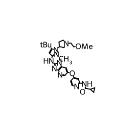 COCCN1CCC(n2nc(Nc3nc4ncc(Oc5ccnc(NC(=O)C6CC6)c5)cc4n3C)cc2C(C)(C)C)C1